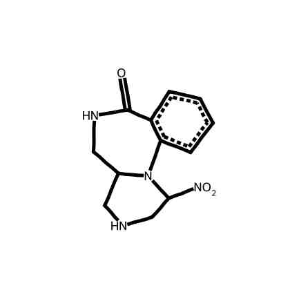 O=C1NCC2CNCC([N+](=O)[O-])N2c2ccccc21